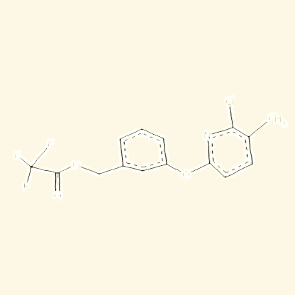 Cc1ccc(Oc2cccc(COC(=O)C(F)(F)F)c2)nc1Cl